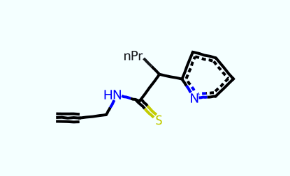 C#CCNC(=S)C(CCC)c1ccccn1